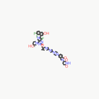 C[C@@]1(O)CCCN(c2nc(OCC3(CN4CC(N5CC(N6CCN(c7ccc8c(c7)CN([C@H]7CCC(=O)NC7=O)C8=O)CC6)C5)C4)CC3)nc3c(F)c(-c4cc(O)cc5ccc(F)c(F)c45)ncc23)C1